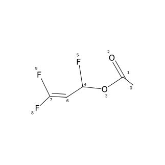 CC(=O)OC(F)C=C(F)F